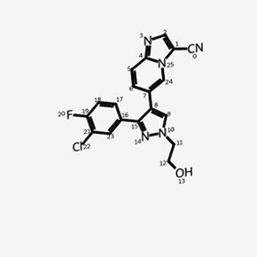 N#Cc1cnc2ccc(-c3cn(CCO)nc3-c3ccc(F)c(Cl)c3)cn12